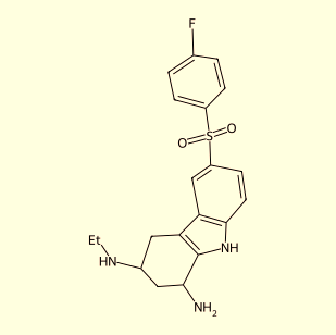 CCNC1Cc2c([nH]c3ccc(S(=O)(=O)c4ccc(F)cc4)cc23)C(N)C1